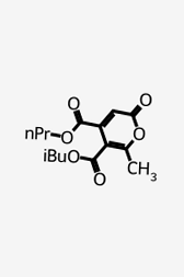 CCCOC(=O)c1cc(=O)oc(C)c1C(=O)OCC(C)C